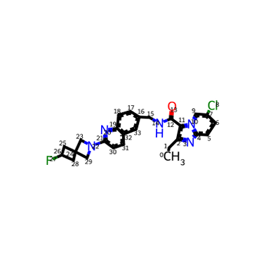 CCc1nc2ccc(Cl)cn2c1C(=O)NCc1ccc2nc(N3CC4(CC(F)C4)C3)ccc2c1